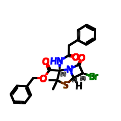 CC1(C)S[C@@H]2[C@H](Br)C(=O)N2[C@@]1(NC(=O)Cc1ccccc1)C(=O)OCc1ccccc1